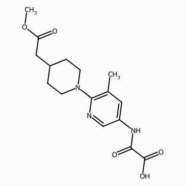 COC(=O)CC1CCN(c2ncc(NC(=O)C(=O)O)cc2C)CC1